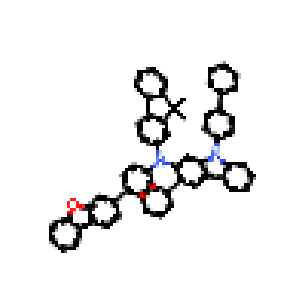 CC1(C)c2ccccc2-c2ccc(N(c3ccc(-c4ccc5c(c4)oc4ccccc45)cc3)c3cc4c(cc3-c3ccccc3)c3ccccc3n4-c3ccc(-c4ccccc4)cc3)cc21